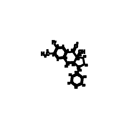 Cc1cc2c(cc1F)C(=O)C1(O)CCN(c3ccccc3)C1=N2